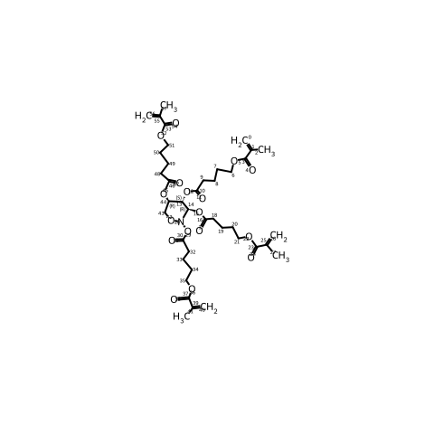 C=C(C)C(=O)OCCCCC(=O)O[C@@H]1[C@@H](OC(=O)CCCCOC(=O)C(=C)C)N(OC(=O)CCCCOC(=O)C(=C)C)OC[C@H]1OC(=O)CCCCOC(=O)C(=C)C